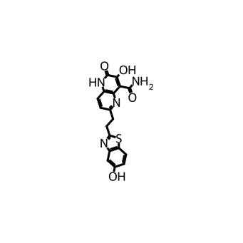 NC(=O)c1c(O)c(=O)[nH]c2ccc(CCc3nc4cc(O)ccc4s3)nc12